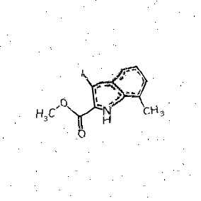 COC(=O)c1[nH]c2c(C)cccc2c1I